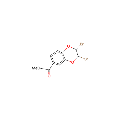 COC(=O)c1ccc2c(c1)OC(Br)C(Br)O2